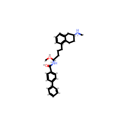 CN[C@H]1CCc2c(CCCC(NC(=O)c3ccc(-c4ccccc4)cc3)OC)cccc2C1